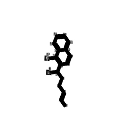 CC=CCCC(CC)c1ccc2ccccc2c1CC